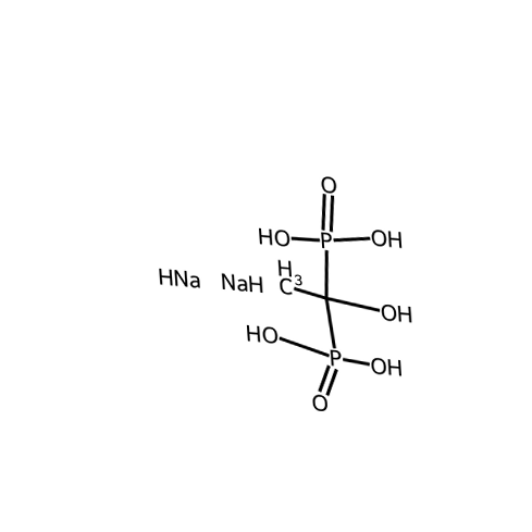 CC(O)(P(=O)(O)O)P(=O)(O)O.[NaH].[NaH]